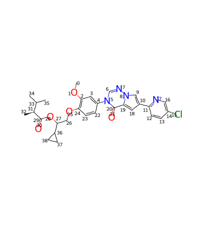 COc1cc(-n2cnn3cc(-c4ccc(Cl)cn4)cc3c2=O)ccc1OCC(OC(=O)[C@@H](C)C(C)C)C1CC1